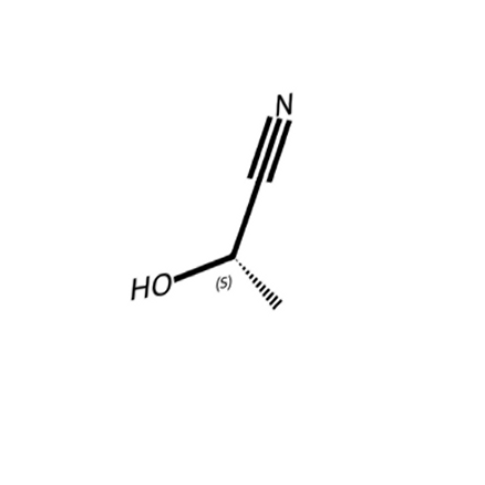 C[C@H](O)C#N